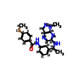 CSc1ccc(C(=O)Nc2cccc([C@H](C)Nc3cnc4cnn(C)c4n3)c2)cc1